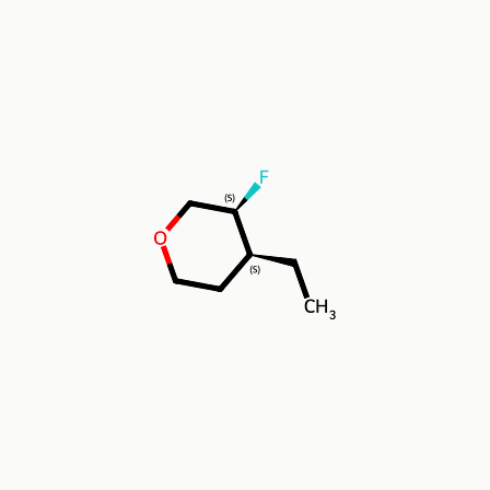 CC[C@H]1CCOC[C@H]1F